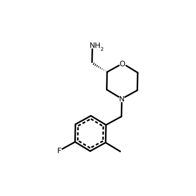 Cc1cc(F)ccc1CN1CCO[C@@H](CN)C1